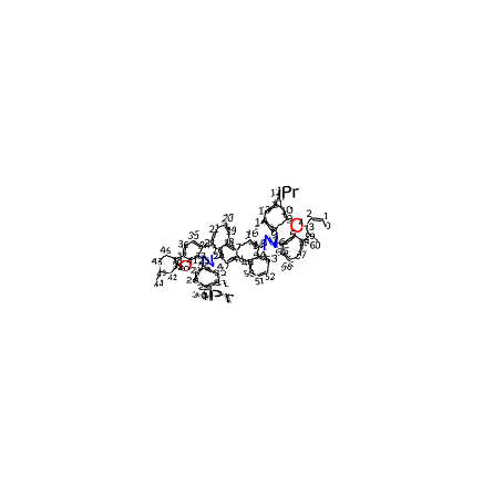 C/C=C\c1oc2c(N(c3ccc(C(C)C)cc3)c3cc4c5ccccc5c(N(c5ccc(C(C)C)cc5)c5cccc6c7c(oc56)CC(C)CC7)cc4c4ccccc34)cccc2c1C